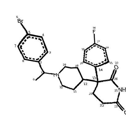 CC(c1ccc(Br)cc1)N1CCC(C2(c3ccc(F)cc3)CCC(=O)NC2=O)CC1